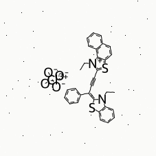 CCN1/C(=C(\C#Cc2sc3ccc4ccccc4c3[n+]2CC)c2ccccc2)Sc2ccccc21.[O-][Cl+3]([O-])([O-])[O-]